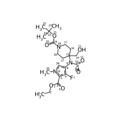 CCOC(=O)c1c(F)c(N([SH](=O)=O)C2(CO)CCN(C(=O)OC(C)(C)C)CC2)cn1C